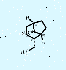 CC[C@@H]1CC[C@@H]2CC[C@H]1N2C